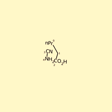 CCCCC(=O)O.N#CN